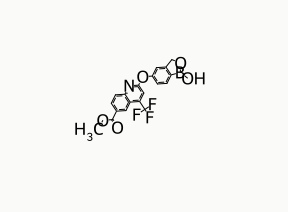 COC(=O)c1ccc2nc(Oc3ccc4c(c3)COB4O)cc(C(F)(F)F)c2c1